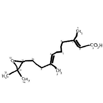 CC(=CC(=O)O)CCC=C(C)CCC1OC1(C)C